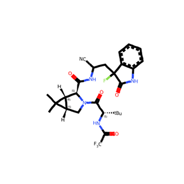 CC(C)(C)[C@H](NC(=O)C(F)(F)F)C(=O)N1C[C@H]2[C@@H]([C@H]1C(=O)NC(C#N)CC1(F)C(=O)Nc3ccccc31)C2(C)C